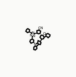 N#Cc1cccc(-c2nc(-c3ccccc3)nc(-c3cccc(-n4c5ccccc5c5ccc(-c6ccc7oc8ccccc8c7c6)cc54)c3)n2)c1